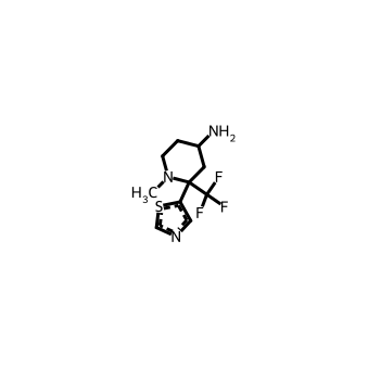 CN1CCC(N)CC1(c1cncs1)C(F)(F)F